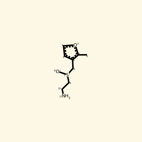 Cc1occc1C[S+]([O-])CCN